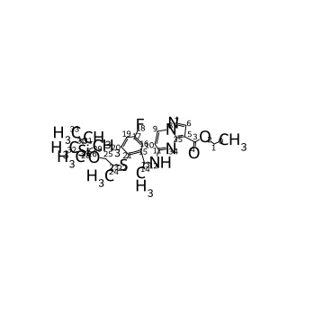 CCOC(=O)c1cnn2ccc(NC(C)c3cc(F)ccc3SC(C)CO[Si](C)(C)C(C)(C)C)nc12